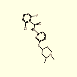 CC1CC(Sc2cccc(NC(=O)c3c(F)cccc3Cl)n2)CCN1C